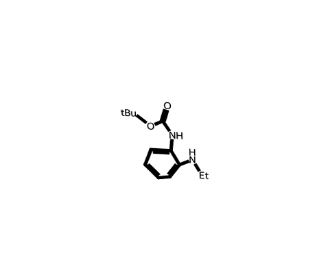 CCNc1ccccc1NC(=O)OC(C)(C)C